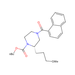 CCCCOC(=O)N1CCN(C(=O)c2cccc3ccccc23)C[C@@H]1CCCOC